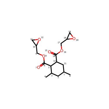 CC1CC(C)C(C(=O)OCC2CO2)C(C(=O)OCC2CO2)C1